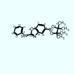 CC1(C)OB(c2ccc3oc(Nc4ccccc4)nc3c2)OC1(C)C